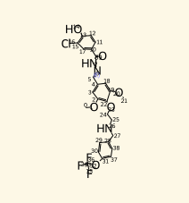 COc1cc(/C=N/NC(=O)c2ccc(O)c(Cl)c2)cc(OC)c1OCCNCc1ccc(OC(F)(F)F)cc1